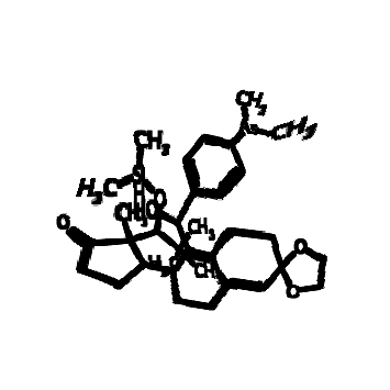 C[SiH](C)OC(C(C)(C)C)C1(C)C(=O)CCC1C1CCC2=CC3(CCC2=C1C(O)c1ccc([As](C)C)cc1)OCCO3